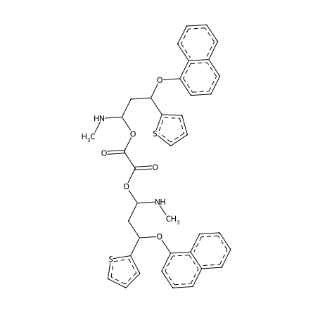 CNC(CC(Oc1cccc2ccccc12)c1cccs1)OC(=O)C(=O)OC(CC(Oc1cccc2ccccc12)c1cccs1)NC